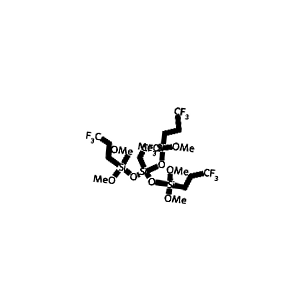 CO[Si](CCC(F)(F)F)(OC)O[Si](CC(F)(F)F)(O[Si](CCC(F)(F)F)(OC)OC)O[Si](CCC(F)(F)F)(OC)OC